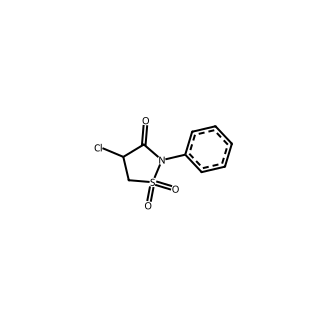 O=C1C(Cl)CS(=O)(=O)N1c1ccccc1